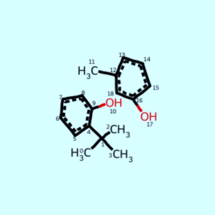 CC(C)(C)c1ccccc1O.Cc1cccc(O)c1